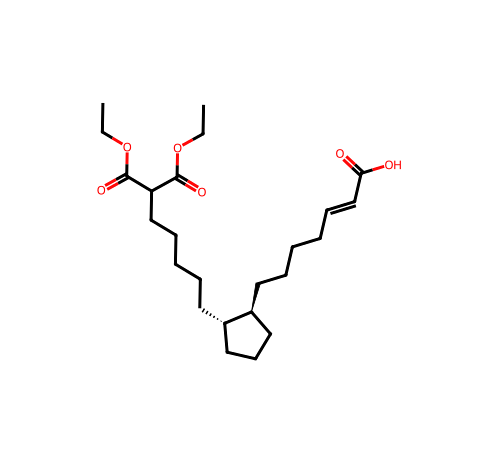 CCOC(=O)C(CCCCC[C@H]1CCC[C@@H]1CCCCC=CC(=O)O)C(=O)OCC